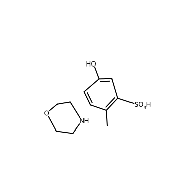 C1COCCN1.Cc1ccc(O)cc1S(=O)(=O)O